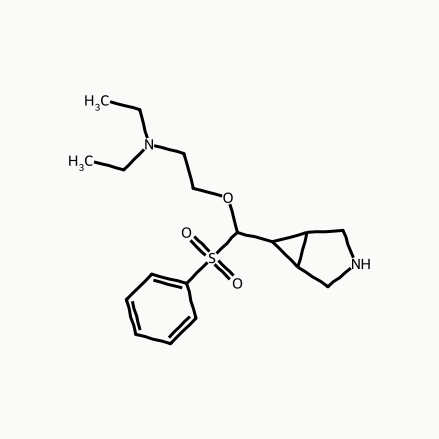 CCN(CC)CCOC(C1C2CNCC21)S(=O)(=O)c1ccccc1